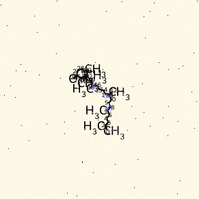 CC(C)=CCC/C(C)=C/CC/C(C)=C/CC/C=C(\C)CC[C@]1(C)C(C)C(=O)CC[C@H]1C